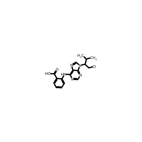 CC(C)C(CCl)n1cnc2c(Nc3ccccc3C(=O)O)ncnc21